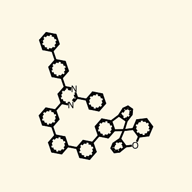 c1ccc(-c2ccc(-c3cc(-c4cccc(-c5cccc(-c6cccc(-c7ccc8c(c7)C7(c9ccccc9Oc9ccccc97)c7ccccc7-8)c6)c5)c4)nc(-c4ccccc4)n3)cc2)cc1